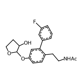 CC(=O)NCCc1ccc(OC2OCCC2O)cc1-c1cccc(F)c1